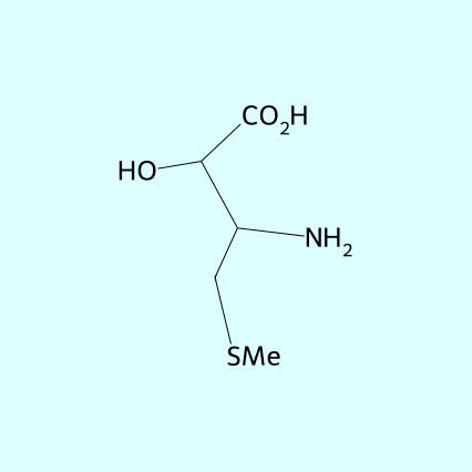 CSCC(N)C(O)C(=O)O